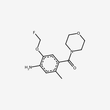 Cc1cc(N)c(OCF)cc1C(=O)N1CCOCC1